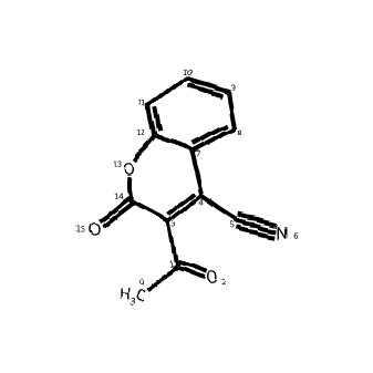 CC(=O)c1c(C#N)c2ccccc2oc1=O